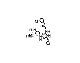 Cl.Cl.Cl.NC1CCC(Nc2nc(NCCNCc3cccc(Cl)c3)c3ncn(C4CCCC4)c3n2)CC1